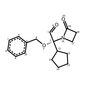 O=C[C@](OCc1ccccc1)(C1CCCC1)N1CCC1=O